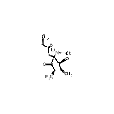 C=CC(=O)CC(C(=O)C=C)(C(=O)C=C)N(CC)CC